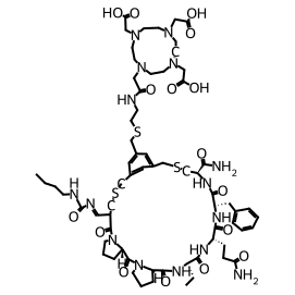 CCCCNC(=O)/N=C/C1CSCc2cc(CSCCNC(=O)CN3CCN(CC(=O)O)CCN(CC(=O)O)CCN(CC(=O)O)CC3)cc(c2)CSC[C@@H](C(N)=O)NC(=O)[C@H](Cc2ccccc2)NC(=O)[C@H](CCC(N)=O)NC(=O)[C@H](CC)NC(=O)[C@@H]2CCCN2C(=O)[C@@H]2CCCN2C1=O